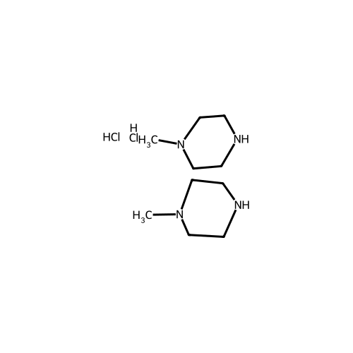 CN1CCNCC1.CN1CCNCC1.Cl.Cl